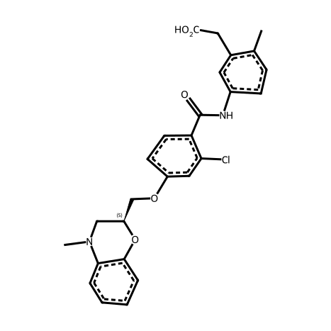 Cc1ccc(NC(=O)c2ccc(OC[C@@H]3CN(C)c4ccccc4O3)cc2Cl)cc1CC(=O)O